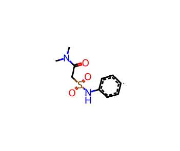 CN(C)C(=O)CS(=O)(=O)Nc1cc[c]cc1